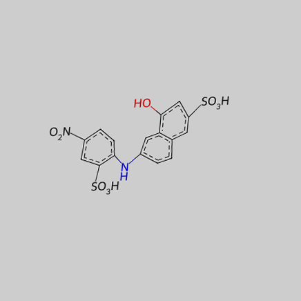 O=[N+]([O-])c1ccc(Nc2ccc3cc(S(=O)(=O)O)cc(O)c3c2)c(S(=O)(=O)O)c1